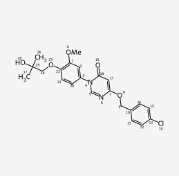 COc1cc(-n2cnc(OCc3ccc(Cl)cc3)cc2=O)ccc1OCC(C)(C)O